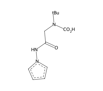 CC(C)(C)N(CC(=O)Nn1cccc1)C(=O)O